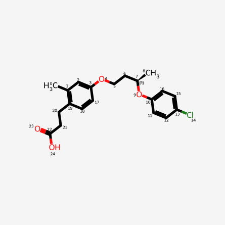 Cc1cc(OCC[C@@H](C)Oc2ccc(Cl)cc2)ccc1CCC(=O)O